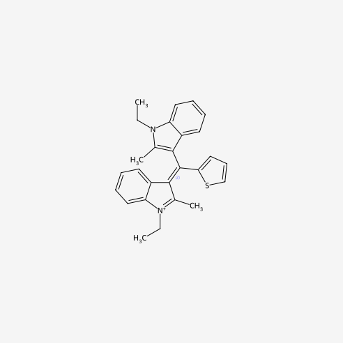 CCn1c(C)c(/C(=C2/C(C)=[N+](CC)c3ccccc32)c2cccs2)c2ccccc21